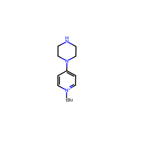 CC(C)(C)[n+]1ccc(N2CCNCC2)cc1